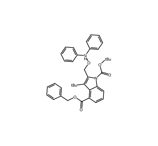 CC(C)(C)OC(=O)n1c(CO[SiH](c2ccccc2)c2ccccc2)c(C(C)(C)C)c2c(C(=O)OCc3ccccc3)cccc21